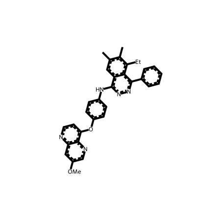 CCc1c(C)c(C)cc2c(Nc3ccc(Oc4ccnc5cc(OC)cnc45)cc3)nnc(-c3ccccc3)c12